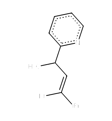 CC/C(=C\C(C)c1ccccn1)C(C)C